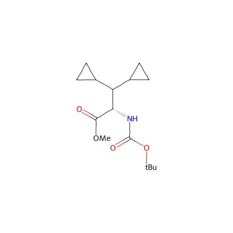 COC(=O)[C@@H](NC(=O)OC(C)(C)C)C(C1CC1)C1CC1